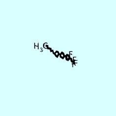 CCCCCCCC1CCC(C2CCC(c3ccc(/C=C/C(F)(F)F)c(F)c3)CC2)CC1